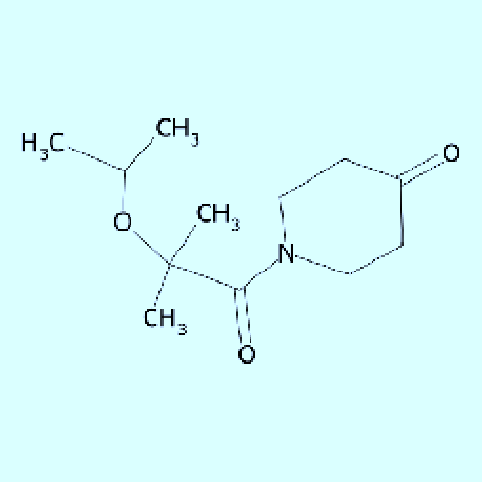 CC(C)OC(C)(C)C(=O)N1CCC(=O)CC1